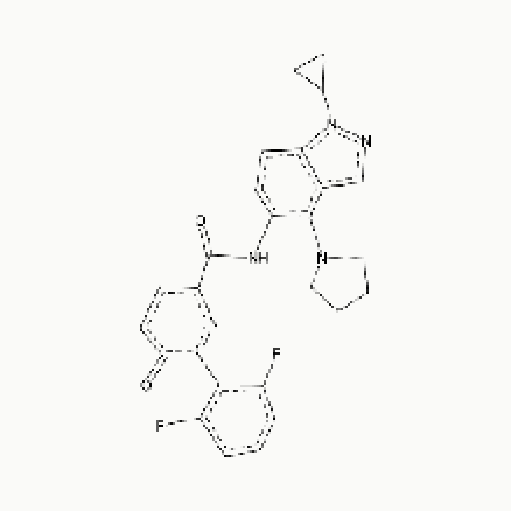 O=C(Nc1ccc2c(cnn2C2CC2)c1N1CCCC1)c1ccc(=O)n(-c2c(F)cccc2F)n1